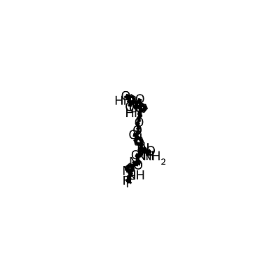 NC(=O)c1nn(C2CCN(C(=O)COCCOCCNc3cccc4c3C(=O)N(C3CCC(=O)NC3=O)C4=O)CC2)cc1NC(=O)c1coc(-c2ccnc(NCC(F)(F)F)c2)n1